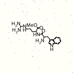 COC(=O)C(CCCNC(N)N)NC(=O)C(N)Cc1c[nH]c2ccccc12